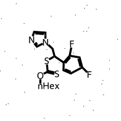 CCCCCCOC(=S)SC(Cn1ccnc1)c1ccc(F)cc1F